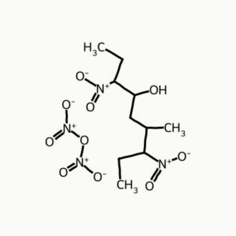 CCC(C(C)CC(O)C(CC)[N+](=O)[O-])[N+](=O)[O-].O=[N+]([O-])O[N+](=O)[O-]